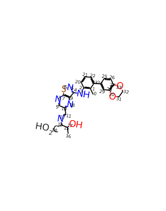 Cc1c(Nc2nsc3ncc(C=NC(C(=O)O)C(C)O)nc23)cccc1-c1ccc2c(c1)OCCO2